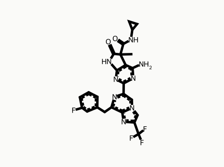 CC1(C(=O)NC2CC2)C(=O)Nc2nc(-c3cn4cc(C(F)(F)F)nc4c(Cc4cccc(F)c4)n3)nc(N)c21